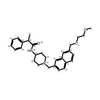 COCCOCc1ccc2ccc(CN3CCC(NC(=O)C(C)c4ccccc4)CC3)cc2c1